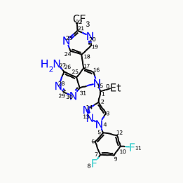 CCC(c1cn(-c2cc(F)cc(F)c2)nn1)n1cc(-c2cnc(C(F)(F)F)nc2)c2c(N)ncnc21